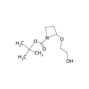 CC(C)(C)OC(=O)N1CCC1OCCO